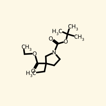 CCOC(=O)C1(CC)CCN(C(=O)OC(C)(C)C)C1